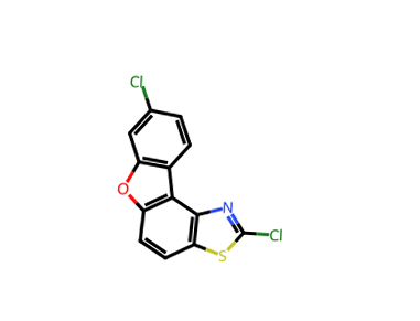 Clc1ccc2c(c1)oc1ccc3sc(Cl)nc3c12